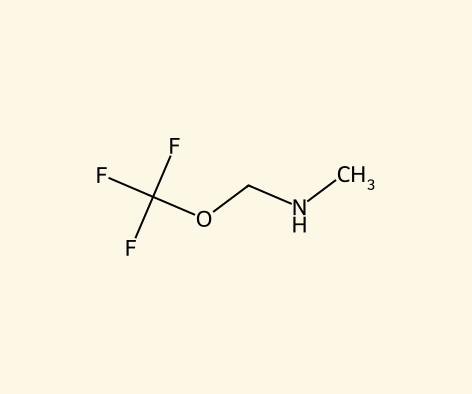 CNCOC(F)(F)F